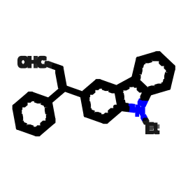 CCn1c2ccccc2c2cc(C(=CC=O)c3ccccc3)ccc21